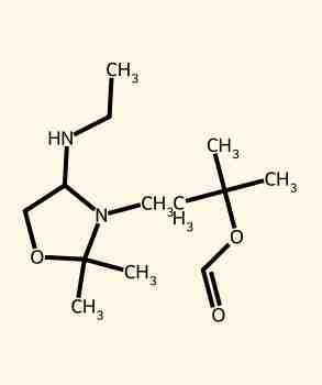 CC(C)(C)OC=O.CCNC1COC(C)(C)N1C